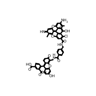 Cc1cc2c(-c3c(Cl)cc(C(=O)NCc4ccc(C(=O)NCc5c6oc7cc(O)ccc7c(-c7ccc(C(=O)O)cc7C(=O)O)c-6ccc5=O)cc4)c(Cl)c3C(=O)O)c3cc(C)c(=N)cc-3oc2cc1N